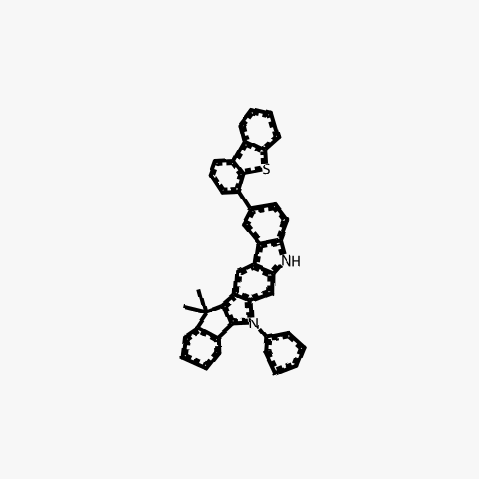 CC1(C)c2ccccc2-c2c1c1cc3c(cc1n2-c1ccccc1)[nH]c1ccc(-c2cccc4c2sc2ccccc24)cc13